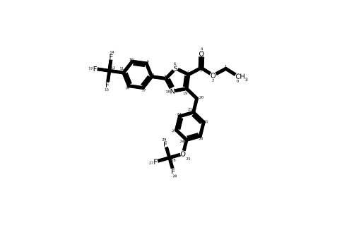 CCOC(=O)c1sc(-c2ccc(C(F)(F)F)cc2)nc1Cc1ccc(OC(F)(F)F)cc1